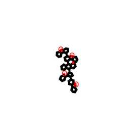 c1ccc2c(c1)oc1cc(-c3ccc(-c4c5ccccc5c(-c5ccc(-c6cccc7oc8ccccc8c67)c6oc7ccccc7c56)c5ccccc45)c4oc5ccccc5c34)ccc12